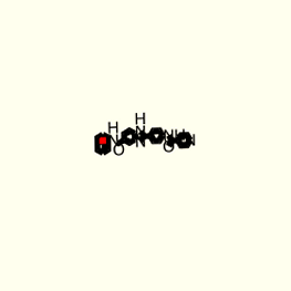 O=C(Nc1ccc(-c2nc3cc(C(=O)NC45CC6CC(CC(C6)C4)C5)ccc3[nH]2)cc1)c1ccncc1